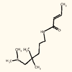 CC=CC(=O)NCCCC(C)(C)CN(C)C